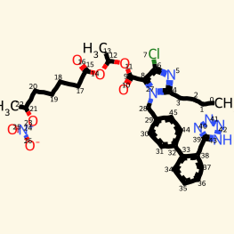 CCCCc1nc(Cl)c(C(=O)OC(C)OC(=O)CCCCC(C)O[N+](=O)[O-])n1Cc1ccc(-c2ccccc2-c2nnn[nH]2)cc1